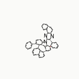 c1ccc(-c2ccc3c4c2-c2cccc5cccc(c25)-c2cccc(c24)n3-c2nc3c(ccc4ccccc43)nc2-c2ccccc2)cc1